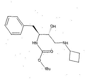 CC(C)(C)OC(=O)N[C@@H](Cc1ccccc1)[C@H](O)CNC1CCC1